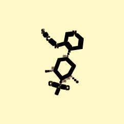 C[C@@H]1C[C@H](c2ccncc2N=C=S)C[C@H](C)[C@@H]1S(C)(=O)=O